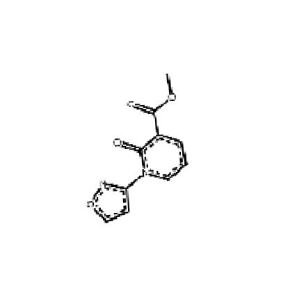 COC(=O)c1cccn(-c2ccon2)c1=O